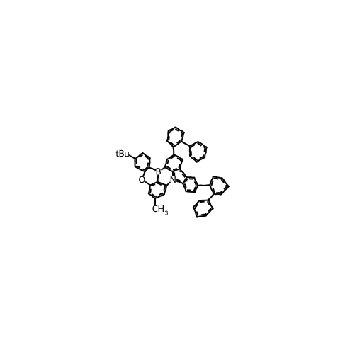 Cc1cc2c3c(c1)-n1c4ccc(-c5ccccc5-c5ccccc5)cc4c4cc(-c5ccccc5-c5ccccc5)cc(c41)B3c1ccc(C(C)(C)C)cc1O2